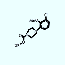 COc1c(Cl)cccc1N1CCN(C(=O)OC(C)(C)C)CC1